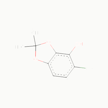 CC1(C)Oc2ccc(Cl)c(O)c2O1